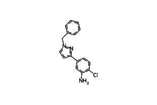 Nc1cc(-c2ccn(Cc3ccccc3)n2)ccc1Cl